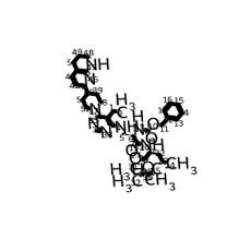 CCc1c(NC[C@H](NC(=O)OCc2ccccc2)C(=O)N[C@@H](CC(C)C)C(=O)OC(C)(C)C)ncnc1N1CCC(c2ccc3c(n2)NCCC3)CC1